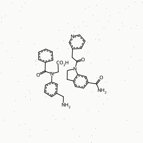 NC(=O)c1ccc2c(c1)N(C(=O)Cc1cccnc1)CC2.NCc1cccc(N(CC(=O)O)C(=O)c2ccccc2)c1